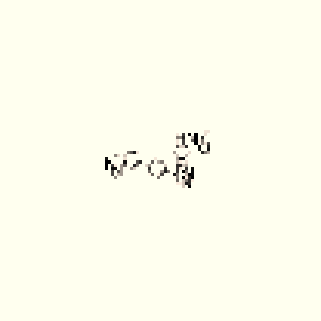 CCC(=O)NC1CC[C@@H](n2nncc2-c2ccc(-c3ccc4cnn(C)c4c3)cc2)C1